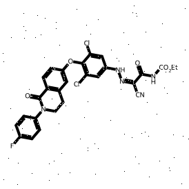 CCOC(=O)NC(=O)C(C#N)=NNc1cc(Cl)c(Oc2ccc3c(c2)CCN(c2ccc(F)cc2)C3=O)c(Cl)c1